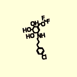 O[C@@H]1[C@@H](O)[C@@H](O)C(COC(F)F)=C[C@H]1NCCCc1ccc(Cl)cc1